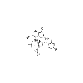 Cc1nc(F)ccc1C(Nc1cc(Cl)c2ncc(C#N)c(NCC(C)(C)C)c2c1)c1cn(C2CC23CC3)nn1